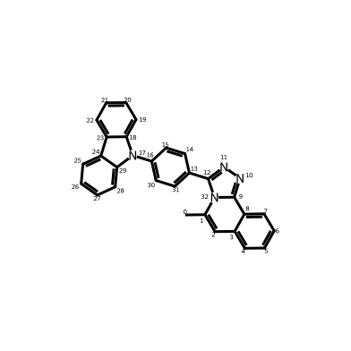 Cc1cc2ccccc2c2nnc(-c3ccc(-n4c5ccccc5c5ccccc54)cc3)n12